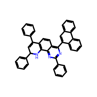 C1=C(c2ccccc2)c2ccc3c(-c4cc5ccccc5c5ccccc45)nc(-c4ccccc4)nc3c2NC1c1ccccc1